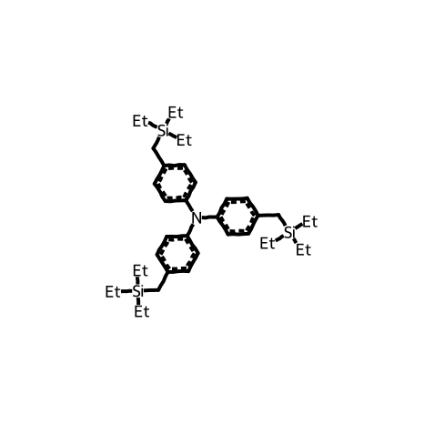 CC[Si](CC)(CC)Cc1ccc(N(c2ccc(C[Si](CC)(CC)CC)cc2)c2ccc(C[Si](CC)(CC)CC)cc2)cc1